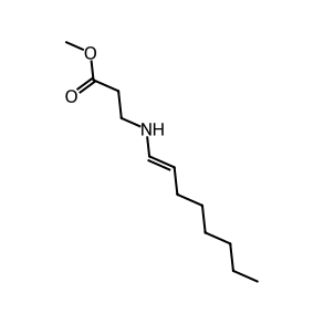 CCCCCCC=CNCCC(=O)OC